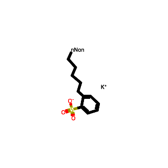 CCCCCCCCCCCCCCc1ccccc1S(=O)(=O)[O-].[K+]